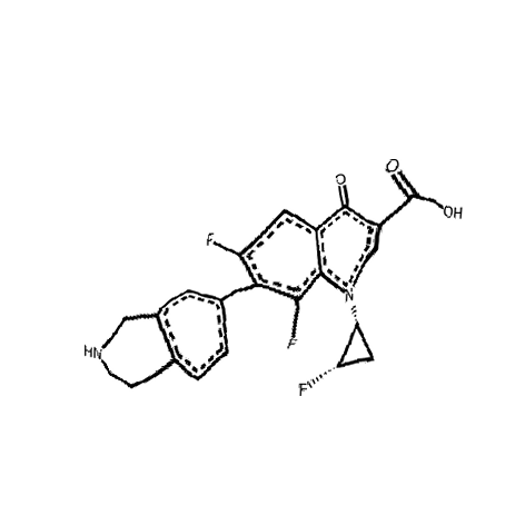 O=C(O)c1cn([C@@H]2C[C@@H]2F)c2c(F)c(-c3ccc4c(c3)CNC4)c(F)cc2c1=O